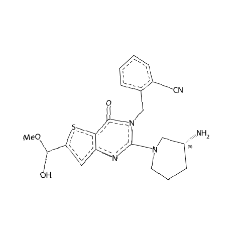 COC(O)c1cc2nc(N3CCC[C@@H](N)C3)n(Cc3ccccc3C#N)c(=O)c2s1